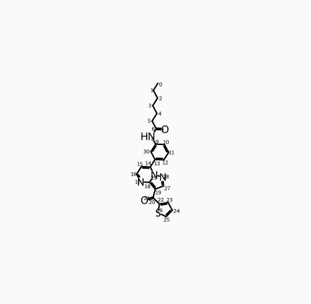 CCCCCCC(=O)Nc1cccc(-c2ccnc3c(C(=O)c4cccs4)cnn23)c1